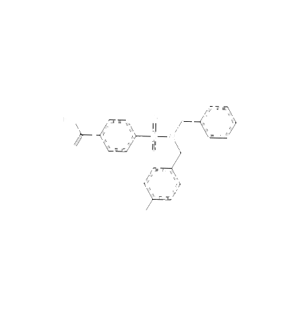 O=C(O)c1ccc(S(=O)(=O)N(Cc2ccccc2)Cc2ccc(F)cc2)cc1